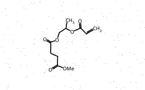 C=CC(=O)OC(C)COC(=O)CCC(=O)OC